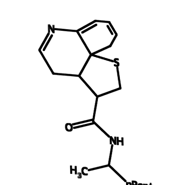 CCCCCC(C)NC(=O)C1CSC23CC=CC=C2N=CCC13